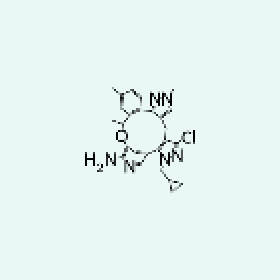 Cc1ccc2c(c1)C(C)Oc1cc(cnc1N)-c1c(c(Cl)nn1CC1CC1)Cc1cn(C)nc1-2